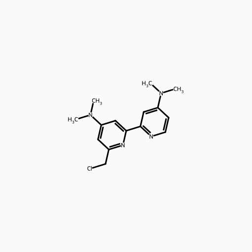 CN(C)c1ccnc(-c2cc(N(C)C)cc(CCl)n2)c1